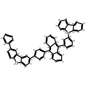 c1ccc(-c2ccc3oc4ccc(-c5ccc(-c6c7ccccc7c(-c7cccc(-n8c9ccccc9c9ccccc98)c7)c7ccccc67)cc5)cc4c3c2)cc1